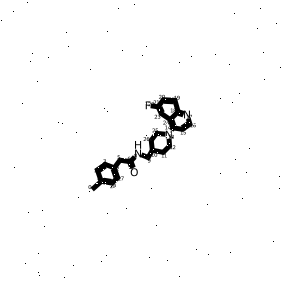 Cc1ccc(CC(=O)NCC2CCN(c3ccnc4ccc(F)cc34)CC2)cc1